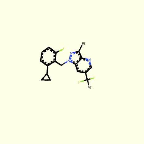 CCc1nn(Cc2c(F)cccc2C2CC2)c2cc(C(F)(F)C(C)=O)cnc12